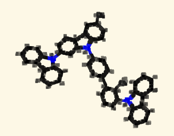 N#Cc1ccc2c(c1)c1ccc(-n3c4ccccc4c4ccccc43)cc1n2-c1ccc(-c2cccc(-n3c4ccccc4c4ccccc43)c2C#N)cc1